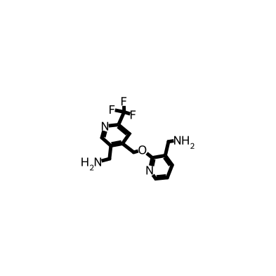 NCc1cnc(C(F)(F)F)cc1COc1ncccc1CN